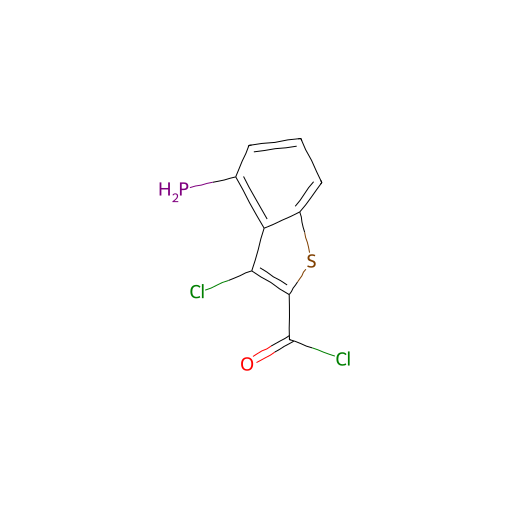 O=C(Cl)c1sc2cccc(P)c2c1Cl